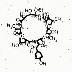 CCO[C@H]1NC(=O)[C@@H]2[C@@H](O)[C@@H](C)CN2C(=O)[C@H]([C@@H](C)O)NC(=O)[C@H]([C@H](O)[C@@H](O)c2ccc(O)cc2)NC(=O)[C@@H]2C[C@@H](O)CN2C(=O)[C@H]([C@@H](C)O)NC(=O)[C@@H](N)C[C@H]1O